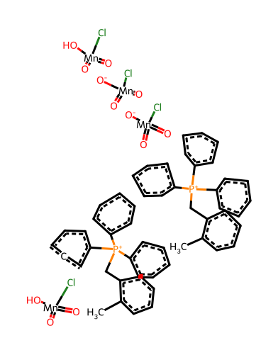 Cc1ccccc1C[P+](c1ccccc1)(c1ccccc1)c1ccccc1.Cc1ccccc1C[P+](c1ccccc1)(c1ccccc1)c1ccccc1.[O]=[Mn](=[O])([O-])[Cl].[O]=[Mn](=[O])([O-])[Cl].[O]=[Mn](=[O])([OH])[Cl].[O]=[Mn](=[O])([OH])[Cl]